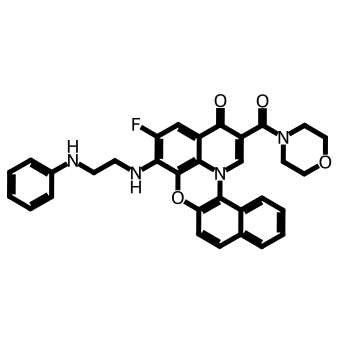 O=C(c1cn2c3c(c(NCCNc4ccccc4)c(F)cc3c1=O)Oc1ccc3ccccc3c1-2)N1CCOCC1